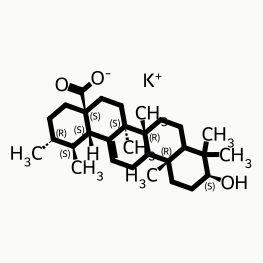 C[C@H]1[C@H](C)CC[C@]2(C(=O)[O-])CC[C@]3(C)C(=CCC4[C@@]5(C)CC[C@H](O)C(C)(C)C5CC[C@]43C)[C@H]12.[K+]